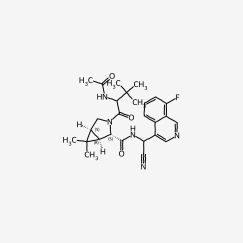 CC(=O)NC(C(=O)N1C[C@H]2[C@@H]([C@H]1C(=O)NC(C#N)c1cncc3c(F)cccc13)C2(C)C)C(C)(C)C